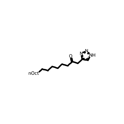 CCCCCCCCCCCCCCC(=O)Cc1c[nH]nn1